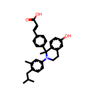 Cc1cc(N2CCc3cc(O)ccc3C2(C)c2ccc(C=CC(=O)O)cc2)ccc1CC(C)C